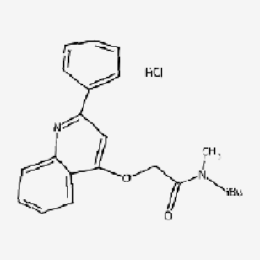 CCC(C)N(C)C(=O)COc1cc(-c2ccccc2)nc2ccccc12.Cl